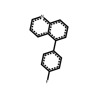 Fc1ccc(-c2cccc3ncccc23)cc1